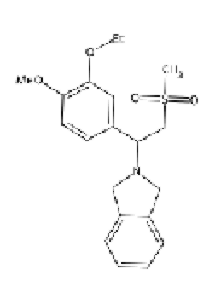 CCOc1cc(C(CS(C)(=O)=O)N2Cc3ccccc3C2)ccc1OC